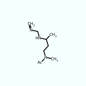 C=NCNC(C)CCN(C)C(C)=O